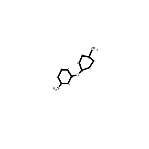 NC1CCC(OC2CCCC(N)C2)CC1